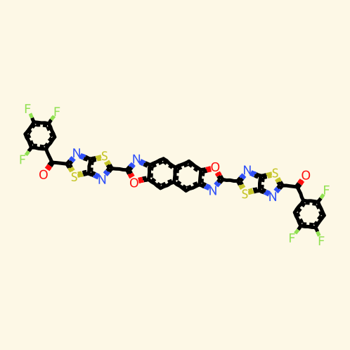 O=C(c1nc2sc(-c3nc4cc5cc6oc(-c7nc8sc(C(=O)c9cc(F)c(F)cc9F)nc8s7)nc6cc5cc4o3)nc2s1)c1cc(F)c(F)cc1F